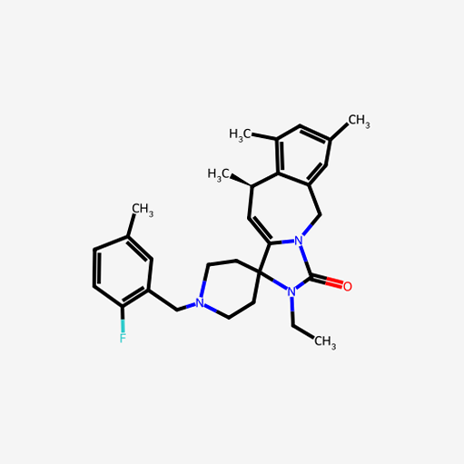 CCN1C(=O)N2Cc3cc(C)cc(C)c3[C@H](C)C=C2C12CCN(Cc1cc(C)ccc1F)CC2